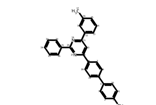 Cc1ccc(-c2ccc(-c3cc(-c4cccc(C)c4)nc(-c4ccccc4)n3)cc2)cc1